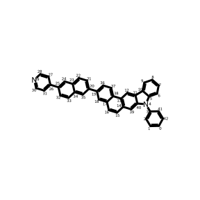 c1ccc(-n2c3ccccc3c3cc4c(ccc5cc(-c6ccc7cc(-c8ccncc8)ccc7c6)ccc54)cc32)cc1